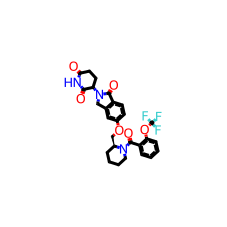 O=C1CCC(N2Cc3cc(OC[C@@H]4CCCCN4C(=O)c4ccccc4OC(F)(F)F)ccc3C2=O)C(=O)N1